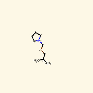 CC(C)CSCN1CCCC1